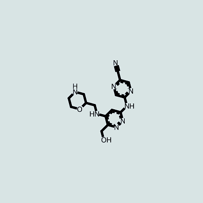 N#Cc1cnc(Nc2cc(NCC3CNCCO3)c(CO)nn2)cn1